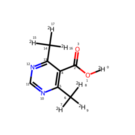 [2H]OC(=O)c1c(C([2H])([2H])[2H])ncnc1C([2H])([2H])[2H]